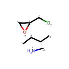 CCCC.CN.ClCC1CO1